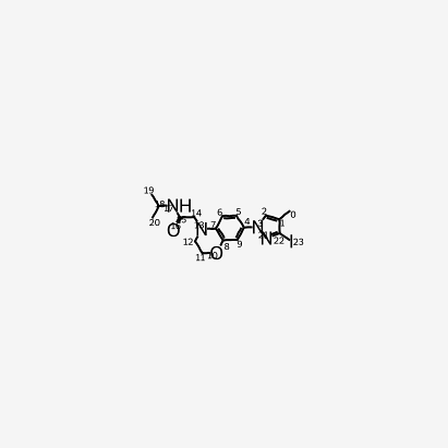 Cc1cn(-c2ccc3c(c2)OCCN3CC(=O)NC(C)C)nc1I